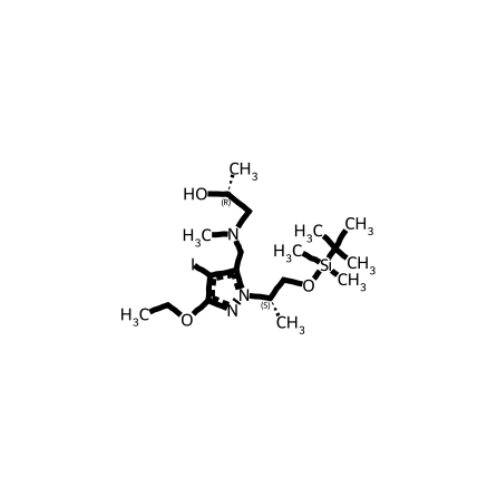 CCOc1nn([C@@H](C)CO[Si](C)(C)C(C)(C)C)c(CN(C)C[C@@H](C)O)c1I